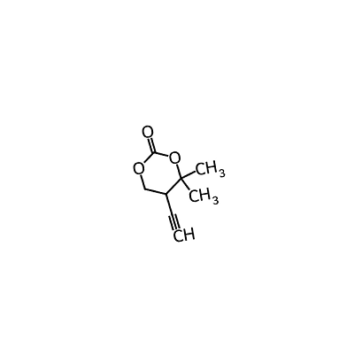 C#CC1COC(=O)OC1(C)C